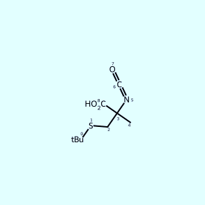 CC(C)(C)SCC(C)(N=C=O)C(=O)O